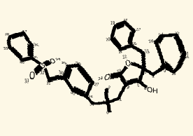 CC(C)(CC1=C(O)C(Cc2ccccc2)(Cc2ccccc2)OC1=O)Cc1cccc(CS(=O)(=O)c2ccccc2)c1